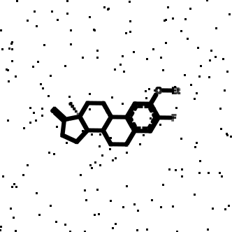 C=C1CCC2C3CCc4cc(F)c(OCC)cc4C3CC[C@]12C